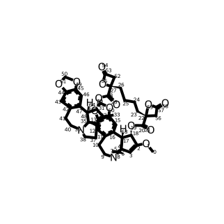 COC1=C[C@]23CCCN2CCc2cc4c(cc2[C@@H]3[C@@H]1OC(=O)[C@@]1(CCCC[C@]2(C(=O)O[C@@H]3C(C)=C[C@]56CCCN5CCc5cc7c(cc5[C@H]36)OCO7)CC(=O)O2)CC(=O)O1)OCO4